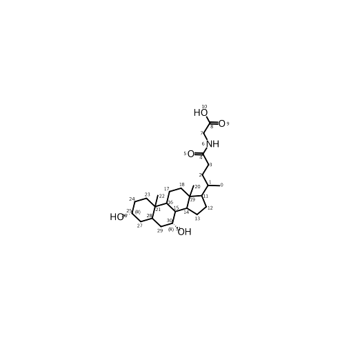 CC(CCC(=O)NCC(=O)O)C1CCC2C3C(CCC12C)C1(C)CC[C@@H](O)CC1C[C@H]3O